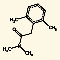 Cc1cccc(C)c1CC(=O)N(C)C